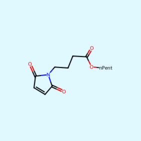 CCCCCOC(=O)CCCN1C(=O)C=CC1=O